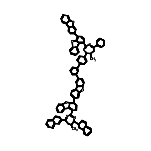 CC1CC(c2ccccc2)=NC(c2ccc(-c3ccc4c(c3)oc3ccccc34)c3oc4ccccc4c23)=NC1c1ccc(-c2cccc(-c3ccc4oc5cc(-c6ccc(C7=NC(c8ccc9ccccc9c8)C(C)CC(c8ccc9ccccc9c8)=N7)c7c6oc6ccccc67)ccc5c4c3)c2)cc1